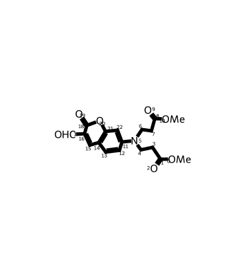 COC(=O)CCN(CCC(=O)OC)c1ccc2cc(C=O)c(=O)oc2c1